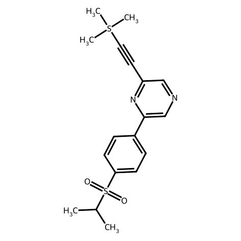 CC(C)S(=O)(=O)c1ccc(-c2cncc(C#CS(C)(C)C)n2)cc1